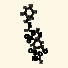 NS(=O)(=O)c1cc2c(cc1Cl)N=CN(CSCc1ccccc1)S2(=O)=O